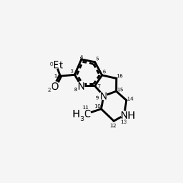 CCC(=O)c1ccc2c(n1)N1C(C)CNCC1C2